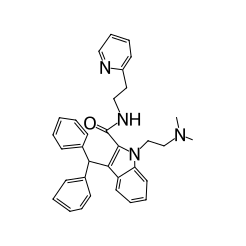 CN(C)CCn1c(C(=O)NCCc2ccccn2)c(C(c2ccccc2)c2ccccc2)c2ccccc21